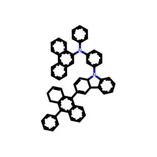 C1=Cc2c(c(-c3ccccc3)c3ccccc3c2C2=CC3c4ccccc4N(c4cccc(N(c5ccccc5)c5cc6ccccc6c6ccccc56)c4)C3C=C2)CC1